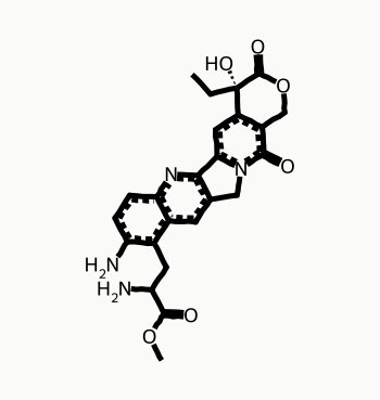 CC[C@@]1(O)C(=O)OCc2c1cc1n(c2=O)Cc2cc3c(CC(N)C(=O)OC)c(N)ccc3nc2-1